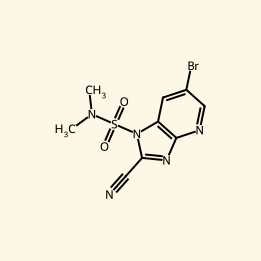 CN(C)S(=O)(=O)n1c(C#N)nc2ncc(Br)cc21